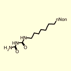 CCCCCCCCCCCCCCCCNC(=O)NC(N)=O